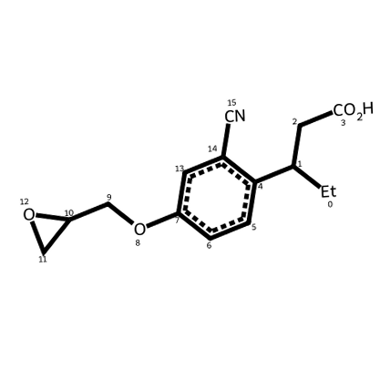 CCC(CC(=O)O)c1ccc(OCC2CO2)cc1C#N